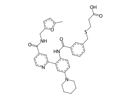 Cc1ccc(CNC(=O)c2ccnc(-c3cc(N4CCCCC4)ccc3NC(=O)c3cccc(CSCCC(=O)O)c3)c2)o1